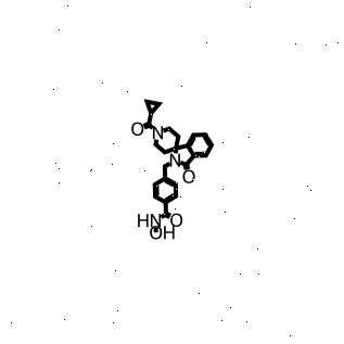 O=C(NO)c1ccc(CN2C(=O)c3ccccc3C23CCN(C(=O)C2CC2)CC3)cc1